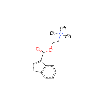 CCC[N+](CC)(CCC)CCOC(=O)C1=CCc2ccccc21